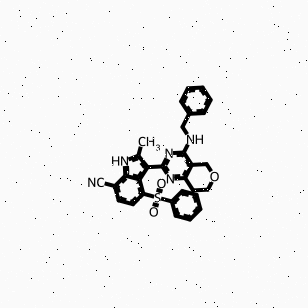 Cc1[nH]c2c(C#N)ccc(S(=O)(=O)c3ccccc3)c2c1-c1nc2c(c(NCc3ccccc3)n1)COCC2